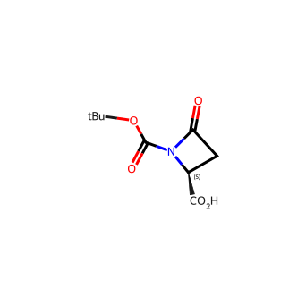 CC(C)(C)OC(=O)N1C(=O)C[C@H]1C(=O)O